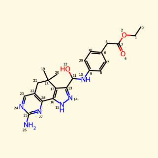 CCOC(=O)Cc1ccc(NC(O)c2n[nH]c3c2C(C)(C)Cc2cnc(N)nc2-3)cc1